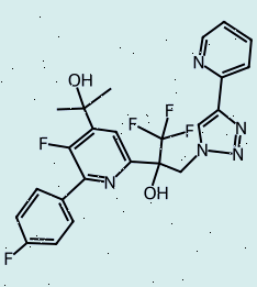 CC(C)(O)c1cc(C(O)(Cn2cc(-c3ccccn3)nn2)C(F)(F)F)nc(-c2ccc(F)cc2)c1F